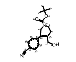 CC(C)(C)OC(=O)N1CCC(CO)=C(c2ccc(C#N)cc2)C1